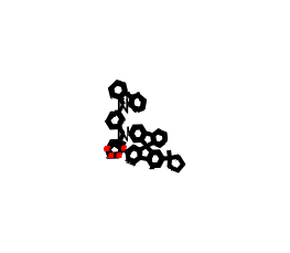 CC1(c2ccc3c(c2)C2(c4ccccc4-c4ccc(N(c5ccccc5)c5cccc(-n6c7ccccc7c7ccccc76)c5)cc42)c2cc(C4(C)CCCC4)ccc2-3)CCCC1